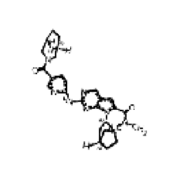 CN(C)C(=O)c1cc2cnc(Nc3ccc(C(=O)N4CC5CC[C@H](C4)N5)cn3)nc2n1[C@@H]1C[C@H]2CCC1C2